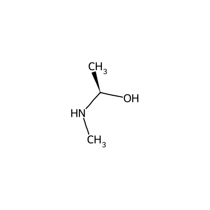 CN[C@@H](C)O